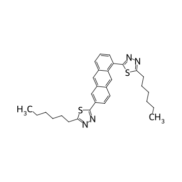 CCCCCCc1nnc(-c2ccc3cc4c(-c5nnc(CCCCCC)s5)cccc4cc3c2)s1